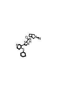 N#CN1CC2CC[C@]2(NC(=O)c2ncc(-c3cnccc3Sc3ccccc3)s2)C1